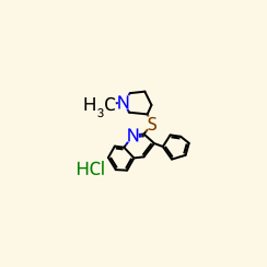 CN1CCCC(Sc2nc3ccccc3cc2-c2ccccc2)C1.Cl